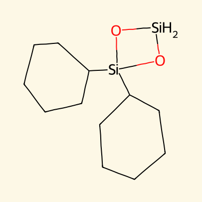 C1CCC([Si]2(C3CCCCC3)O[SiH2]O2)CC1